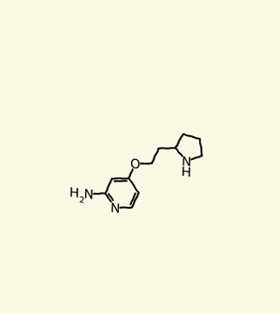 Nc1cc(OCCC2CCCN2)ccn1